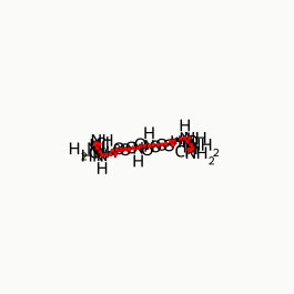 N=C(NCCCCc1ccc(OCCOCCOCCNC(=O)CCC(=O)NCCOCCOCCOc2ccc(CCCCNC(=N)NC(=O)c3nc(Cl)c(N)nc3N)cc2)cc1)NC(=O)c1nc(Cl)c(N)nc1N